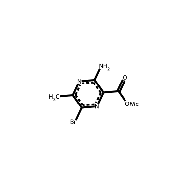 COC(=O)c1nc(Br)c(C)nc1N